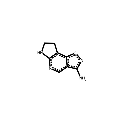 Nc1nsc2c3c(ncc12)NCC3